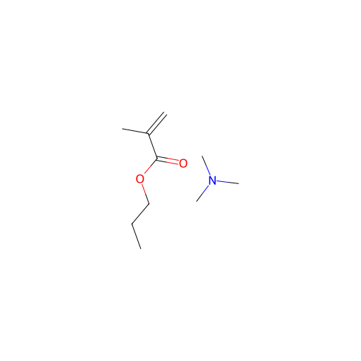 C=C(C)C(=O)OCCC.CN(C)C